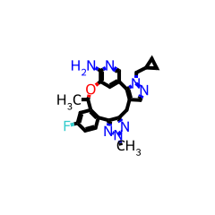 CC1Oc2cc(cnc2N)-c2c(cnn2CC2CC2)Cc2nn(C)nc2-c2ccc(F)cc21